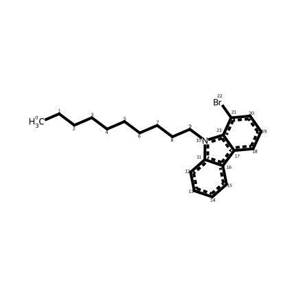 CCCCCCCCCCn1c2ccccc2c2cccc(Br)c21